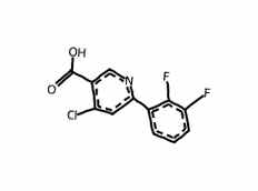 O=C(O)c1cnc(-c2cccc(F)c2F)cc1Cl